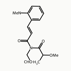 CNc1ccccc1/C=C/C(=O)N(C[C]=O)C(=O)C(C)OC